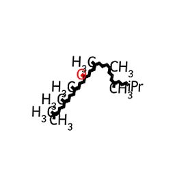 CC(C)=CCC/C(C)=C/CC/C(C)=C/CCC(=O)CC/C=C(\C)CCCC(C)CCCC(C)CCCC(C)C